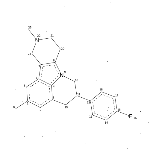 Cc1cc2c3c(c1)c1c(n3CC(c3ccc(F)cc3)C2)CCN(C)C1